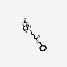 O=C(/C=C/CC[C@@H]1SCC2OC(=O)O[C@@H]21)OCc1ccccc1